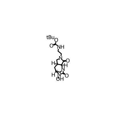 CC(C)(C)OC(=O)NCCN1C[C@@H]2C[C@@H]3CN(C(=O)N3O)[C@@H]2C1=O